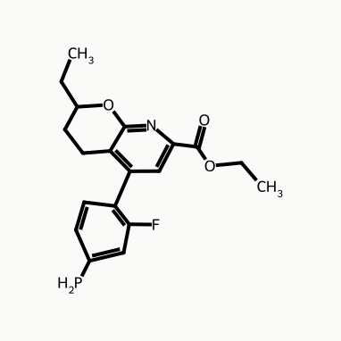 CCOC(=O)c1cc(-c2ccc(P)cc2F)c2c(n1)OC(CC)CC2